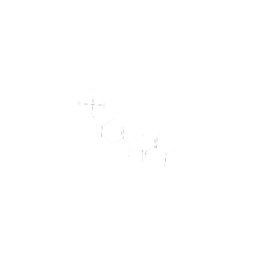 CC(C)C(=O)NS(=O)(=O)c1ccc(OC(F)(F)F)cc1